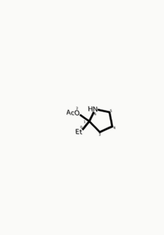 CCC1(OC(C)=O)CCCN1